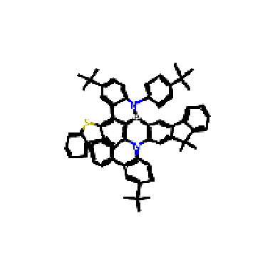 CC(C)(C)c1ccc(N2B3c4cc5c(cc4N(c4ccc(C(C)(C)C)cc4-c4ccccc4)c4cc6c(sc7ccccc76)c(c43)-c3cc(C(C)(C)C)ccc32)C(C)(C)c2ccccc2-5)cc1